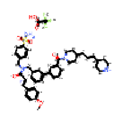 COc1ccc(/C=C/C(=O)N(Cc2ccc(S(N)(=O)=O)cc2)Cc2cccc(-c3cccc(C(=O)N4CCC(CCCC5CCNCC5)CC4)c3)c2)cc1.O=C(O)C(F)(F)F